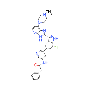 CN1CCN(c2ccnc3[nH]c(-c4n[nH]c5c(F)cc(-c6cncc(NC(=O)Cc7ccccc7)c6)cc45)nc23)CC1